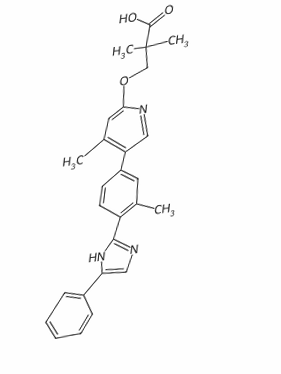 Cc1cc(OCC(C)(C)C(=O)O)ncc1-c1ccc(-c2ncc(-c3ccccc3)[nH]2)c(C)c1